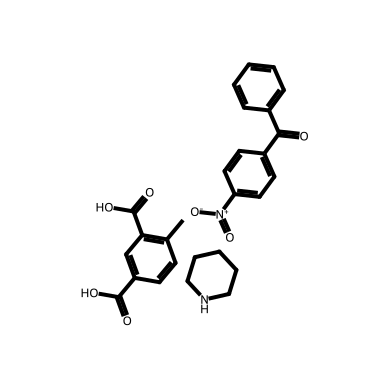 C1CCNCC1.Cc1ccc(C(=O)O)cc1C(=O)O.O=C(c1ccccc1)c1ccc([N+](=O)[O-])cc1